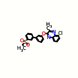 CCS(=O)(=O)c1cccc(-c2cccc(Oc3nc4cccc(Cl)c4nc3C)c2)c1